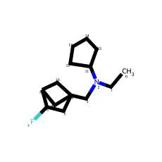 CCN(CC12CC(F)C(C1)C2)C1CCCC1